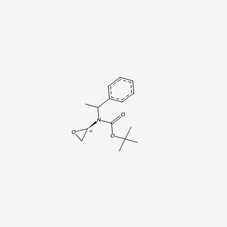 CC(c1ccccc1)N(C(=O)OC(C)(C)C)[C@H]1CO1